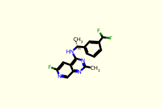 Cc1nc(N[C@H](C)c2cccc(C(F)F)c2)c2cc(F)ncc2n1